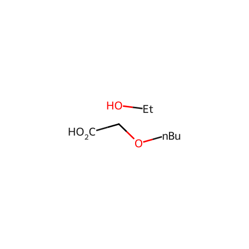 CCCCOCC(=O)O.CCO